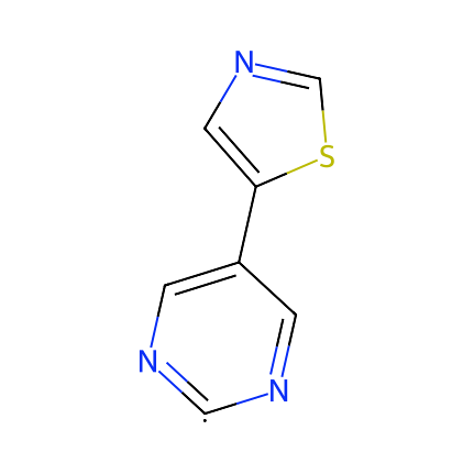 [c]1ncc(-c2cncs2)cn1